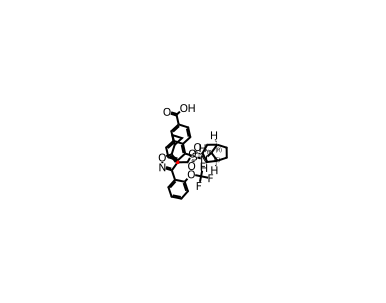 O=C(O)c1ccc2c(S(=O)(=O)N[C@H]3[C@@H]4CC[C@H]3C[C@H](OCc3c(-c5ccccc5OC(F)(F)F)noc3C3CC3)C4)cccc2c1